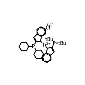 CC(C)(C)P(C1=Cc2ccccc2[CH]1[Ti+2][CH]1C(P(C2CCCCC2)C2CCCCC2)=Cc2ccccc21)C(C)(C)C.[Cl-].[Cl-]